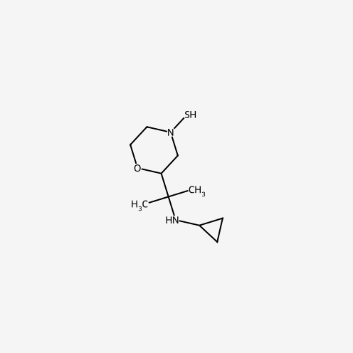 CC(C)(NC1CC1)C1CN(S)CCO1